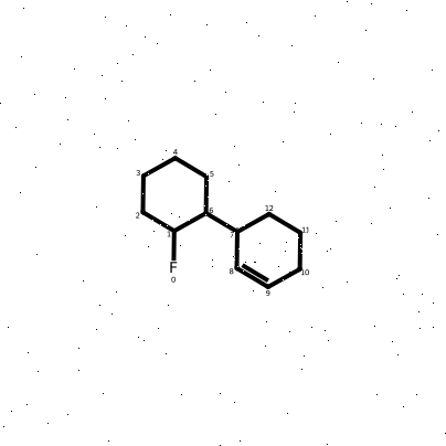 FC1CCCCC1[C]1C=CCCC1